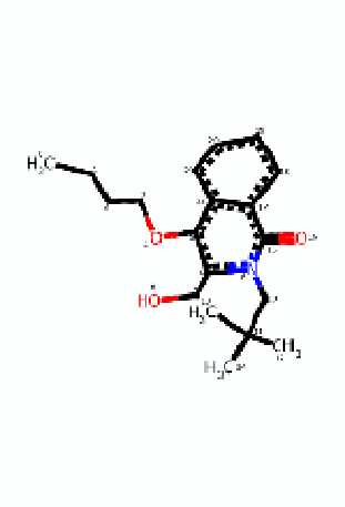 CCCCOc1c(CO)n(CC(C)(C)C)c(=O)c2ccccc12